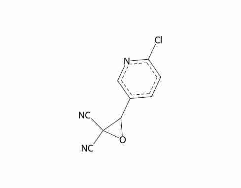 N#CC1(C#N)OC1c1ccc(Cl)nc1